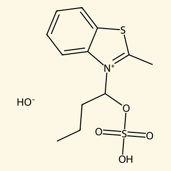 CCCC(OS(=O)(=O)O)[n+]1c(C)sc2ccccc21.[OH-]